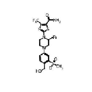 CC(C)C1CN(c2ccc(CO)c(S(C)(=O)=O)c2)CCN1c1nc(C(F)(F)F)c(C(N)=O)s1